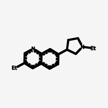 CCc1cnc2cc(C3CCN(CC)C3)ccc2c1